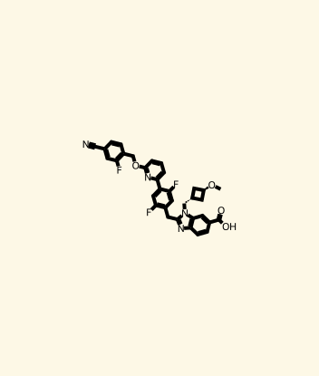 CO[C@H]1C[C@H](Cn2c(Cc3cc(F)c(-c4cccc(OCc5ccc(C#N)cc5F)n4)cc3F)nc3ccc(C(=O)O)cc32)C1